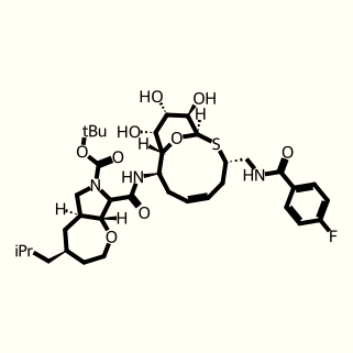 CC(C)C[C@@H]1CCO[C@H]2C(C(=O)N[C@@H]3C/C=C\C[C@@H](CNC(=O)c4ccc(F)cc4)S[C@H]4O[C@H]3[C@H](O)[C@H](O)[C@H]4O)N(C(=O)OC(C)(C)C)C[C@@H]2C1